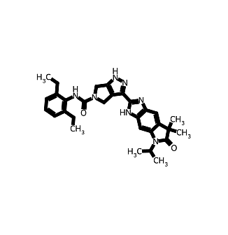 CCc1cccc(CC)c1NC(=O)N1Cc2[nH]nc(-c3nc4cc5c(cc4[nH]3)N(C(C)C)C(=O)C5(C)C)c2C1